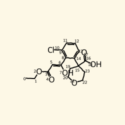 CCOC(=O)C=C(O)c1c(Cl)cccc1C1(C(=O)O)CCOCC1